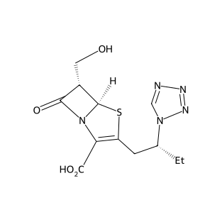 CC[C@H](CC1=C(C(=O)O)N2C(=O)[C@H](CO)[C@H]2S1)n1cnnn1